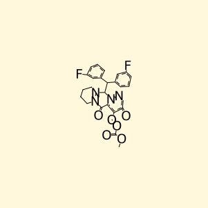 COC(=O)OOc1c2n(ncc1=O)C(C(c1cccc(F)c1)c1cccc(F)c1)N1CCCCN1C2=O